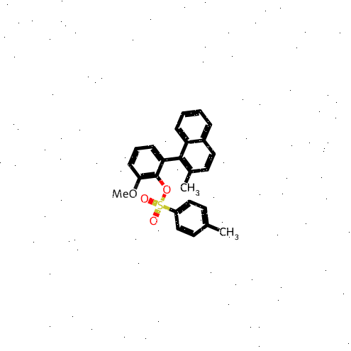 COc1cccc(-c2c(C)ccc3ccccc23)c1OS(=O)(=O)c1ccc(C)cc1